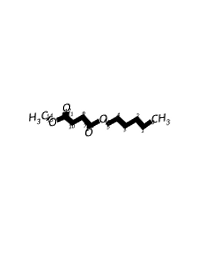 CCCCCCOC(=O)CCC(=O)OC